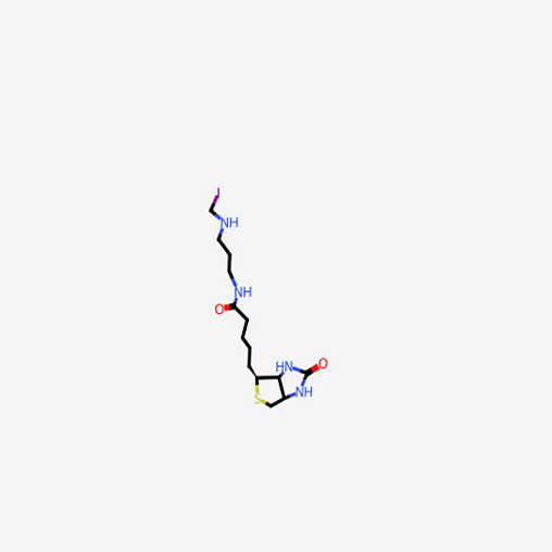 O=C(CCCC[C@@H]1SCC2NC(=O)NC21)NCCCNCI